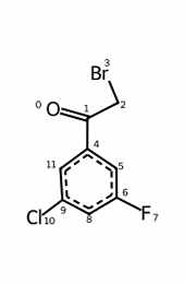 O=C(CBr)c1cc(F)cc(Cl)c1